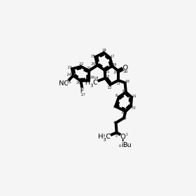 CC[C@@H](C)OC(C)CCc1ccc(CC2C=C(C)c3c(cccc3-c3ccc(C#N)c(F)c3)C2=O)cc1